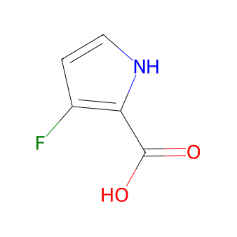 O=C(O)c1[nH]ccc1F